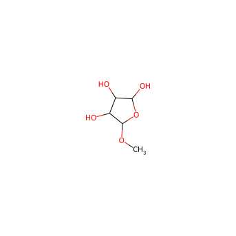 COC1OC(O)C(O)C1O